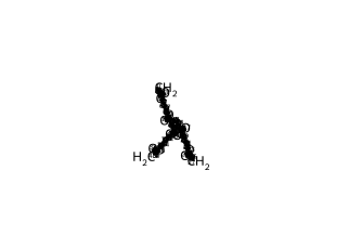 C=CC(=O)OCCCCOC(=O)c1ccc(C(=O)OCCCCOC(=O)C=C)c(C(=O)OCCCCOC(=O)C=C)c1